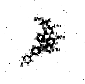 CN[C@@H](C)C(=O)N[C@H](C(=O)N(C(=O)[C@@H]1CCCN1)c1cc2c(Nc3ccc(C4CCN(C)CC4)cc3)ncnc2cc1OC)C(C)(C)C.Cl